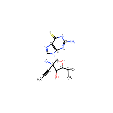 CC#C[C@@]1(N)C(O)[C@@H]([C@H](C)N=O)O[C@H]1n1cnc2c(=S)[nH]c(N)nc21